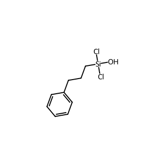 O[Si](Cl)(Cl)CCCc1ccccc1